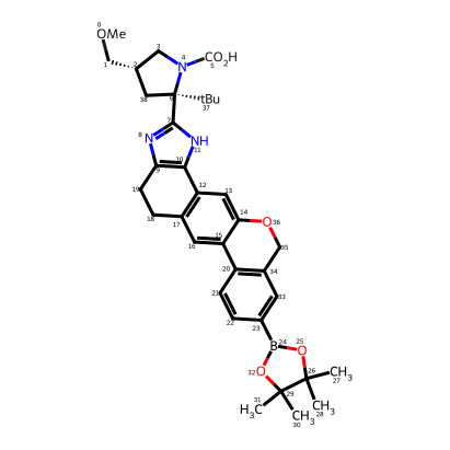 COC[C@@H]1CN(C(=O)O)[C@](c2nc3c([nH]2)-c2cc4c(cc2CC3)-c2ccc(B3OC(C)(C)C(C)(C)O3)cc2CO4)(C(C)(C)C)C1